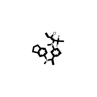 C=C/C(Cl)=C(\N(C)c1cccc(C(=C)N(C)c2ccc3c(c2)CCC3)c1)C(C)(F)F